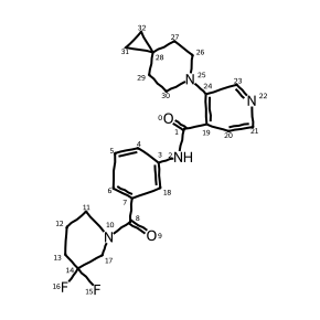 O=C(Nc1cccc(C(=O)N2CCCC(F)(F)C2)c1)c1ccncc1N1CCC2(CC1)CC2